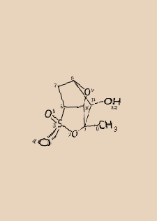 CC12OS(=O)(=O)C3CC(OC31)C2O